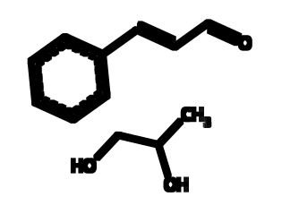 CC(O)CO.O=CC=Cc1ccccc1